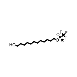 O=S(=O)(OCCCCCCCCCCCCO)C(F)(F)F